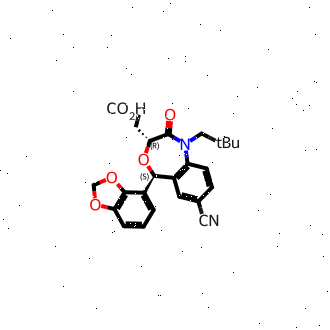 CC(C)(C)CN1C(=O)[C@@H](CC(=O)O)O[C@H](c2cccc3c2OCO3)c2cc(C#N)ccc21